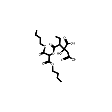 CCCCOC(=O)C(OC(=O)C(CC)C(O)(CC(=O)O)C(=O)O)C(=O)OCCCC